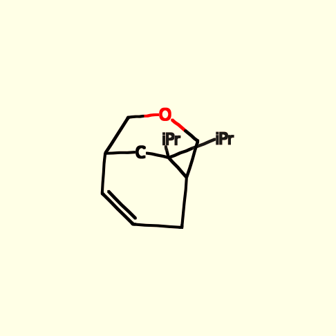 CC(C)C1(C(C)C)CC2C=CCC1COC2